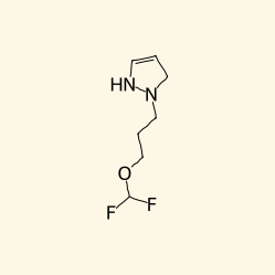 FC(F)OCCCN1CC=CN1